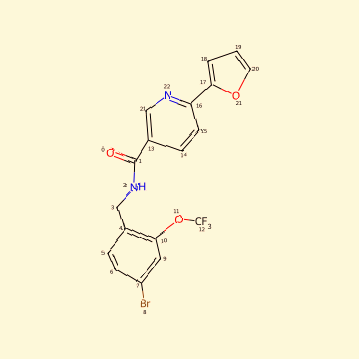 O=C(NCc1ccc(Br)cc1OC(F)(F)F)c1ccc(-c2ccco2)nc1